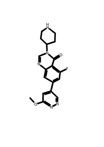 COc1cc(-c2cc(F)c3c(=O)n(C4CCNCC4)cnc3c2)cnn1